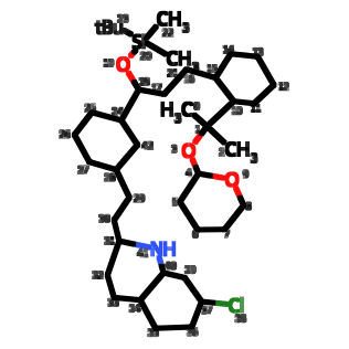 CC(C)(OC1CCCCO1)C1CCCCC1CCC(O[Si](C)(C)C(C)(C)C)C1CCCC(CCC2CCC3CCC(Cl)CC3N2)C1